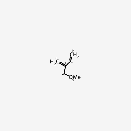 C=CC(=C)COC